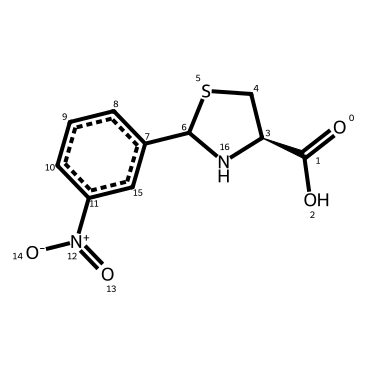 O=C(O)[C@@H]1CSC(c2cccc([N+](=O)[O-])c2)N1